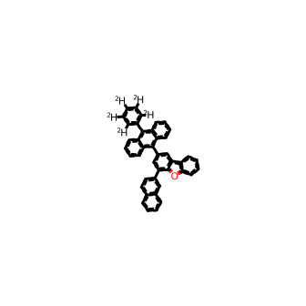 [2H]c1c([2H])c([2H])c(-c2c3ccccc3c(-c3cc(-c4ccc5ccccc5c4)c4oc5ccccc5c4c3)c3ccccc23)c([2H])c1[2H]